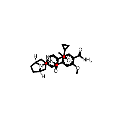 COc1cc(C(=O)N[C@H]2C[C@H]3CC[C@@H](C2)N3c2ccc(C(=O)C3CC3)cn2)c(C)cc1C(N)=O